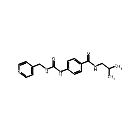 CC(C)CNC(=O)c1ccc(NC(=O)NCc2ccncc2)cc1